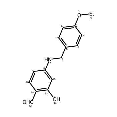 CCOc1ccc(CNc2ccc(C=O)c(O)c2)cc1